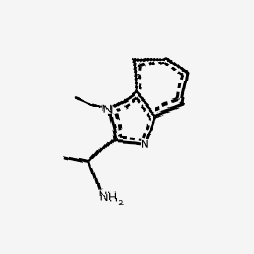 CC(N)c1nc2ccccc2n1C